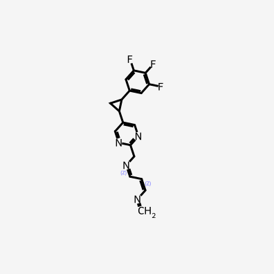 C=N/C=C\C=N/Cc1ncc(C2CC2c2cc(F)c(F)c(F)c2)cn1